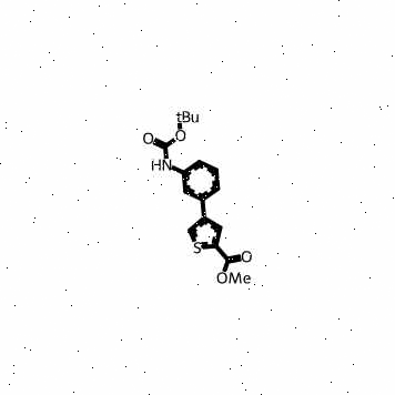 COC(=O)c1cc(-c2cccc(NC(=O)OC(C)(C)C)c2)cs1